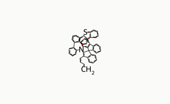 C=C/C=C\C1=C(N(c2ccc3sc4ccccc4c3c2)c2ccccc2-c2ccccc2)C2(c3ccccc31)c1ccccc1-c1ccccc12